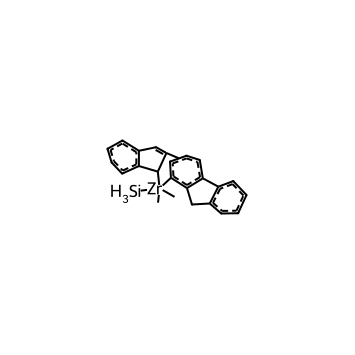 CC1=Cc2ccccc2[CH]1[Zr]([CH3])([CH3])([SiH3])[c]1cccc2c1Cc1ccccc1-2